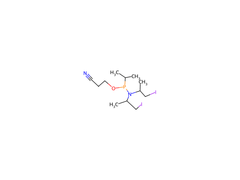 CC(CI)N(C(C)CI)P(OCCC#N)C(C)C